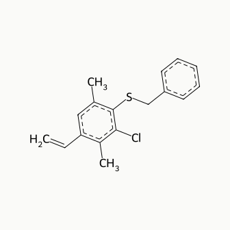 C=Cc1cc(C)c(SCc2ccccc2)c(Cl)c1C